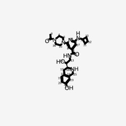 CC(=O)N1CCN(c2cc(C(=O)NCC(O)[C@@H]3Cc4ccc(O)cc4CN3)cc(NC3CCC3)n2)CC1